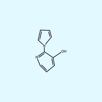 Oc1cccnc1-n1cccc1